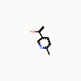 C=C(O)c1ccc(C)nc1